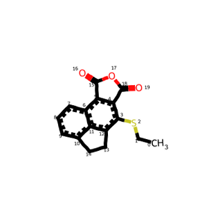 CCSc1c2c(c3cccc4c3c1CC4)C(=O)OC2=O